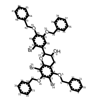 OC1Cc2c(OCc3ccccc3)c(Br)c(OCc3ccccc3)c(Br)c2OC1c1cc(OCc2ccccc2)c(OCc2ccccc2)cc1Br